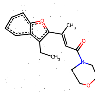 CCc1c(C(C)=CC(=O)N2CCOCC2)oc2ccccc12